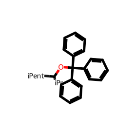 CCCC(C)C(OC(c1ccccc1)(c1ccccc1)c1ccccc1)C(C)C